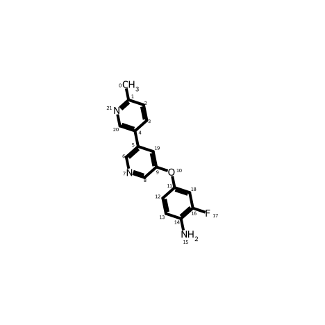 Cc1ccc(-c2cncc(Oc3ccc(N)c(F)c3)c2)cn1